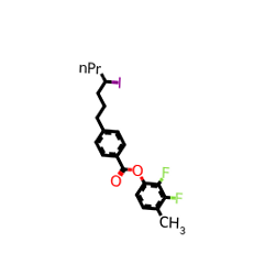 CCCC(I)CCCc1ccc(C(=O)Oc2ccc(C)c(F)c2F)cc1